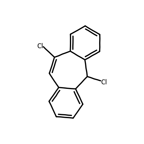 ClC1=Cc2ccccc2C(Cl)c2ccccc21